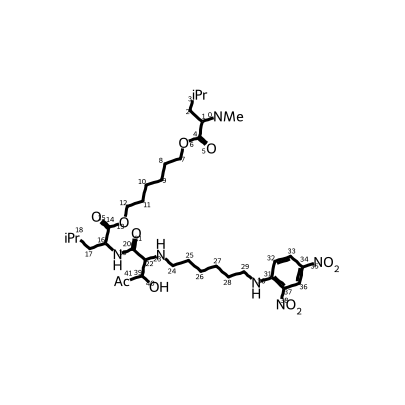 CNC(CC(C)C)C(=O)OCCCCCCOC(=O)C(CC(C)C)NC(=O)C(NCCCCCCNc1ccc([N+](=O)[O-])cc1[N+](=O)[O-])C(O)C(C)=O